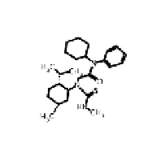 CNC(=S)N(CC(=O)N(c1ccccc1)C1CCCCC1)C1C[C@@H](C)CC[C@@H]1C(C)C